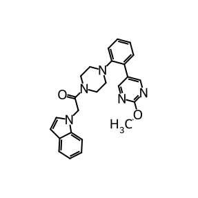 COc1ncc(-c2ccccc2N2CCN(C(=O)Cn3ccc4ccccc43)CC2)cn1